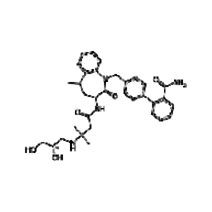 CC1CC(NC(=O)CC(C)(C)NC[C@H](O)CO)C(=O)N(Cc2ccc(-c3ccccc3C(N)=O)cc2)c2ccccc21